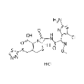 CO/N=C(\C(=O)NC1C(=O)N2C(C(=O)O)=C(CSc3nncs3)CS[C@H]12)c1nc(N)sc1Cl.Cl